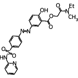 CCN(C)C(=O)COC(=O)c1cc(N=Nc2ccc(S(=O)(=O)Nc3ccccn3)cc2)ccc1O